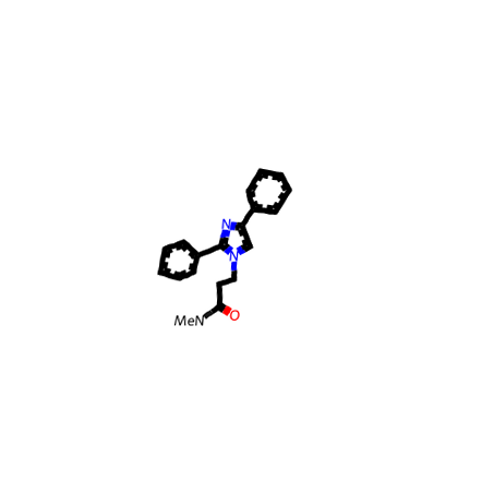 CNC(=O)CCn1cc(-c2ccccc2)nc1-c1ccccc1